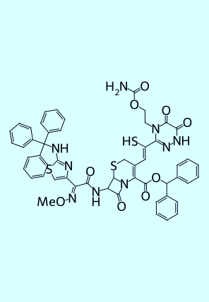 CON=C(C(=O)NC1C(=O)N2C(C(=O)OC(c3ccccc3)c3ccccc3)=C(C=C(S)c3n[nH]c(=O)c(=O)n3CCOC(N)=O)CSC12)c1csc(NC(c2ccccc2)(c2ccccc2)c2ccccc2)n1